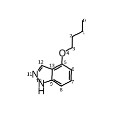 CCCCOc1cccc2[nH]ncc12